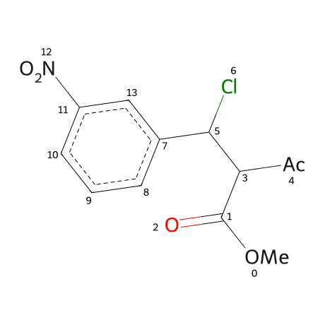 COC(=O)C(C(C)=O)C(Cl)c1cccc([N+](=O)[O-])c1